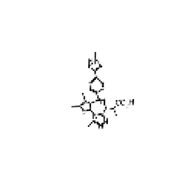 Cc1sc2c(c1C)C(c1ccc(-c3cn[nH]c3)cc1)=N[C@@H](C(C)C(=O)O)c1nnc(C)n1-2